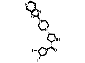 O=C([C@@H]1C[C@H](N2CCN(c3nc4ccncc4o3)CC2)CN1)N1C[C@@H](F)[C@@H](F)C1